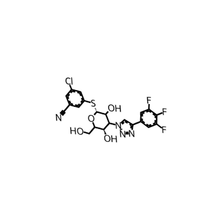 N#Cc1cc(Cl)cc(S[C@H]2OC(CO)[C@H](O)C(n3cc(-c4cc(F)c(F)c(F)c4)nn3)C2O)c1